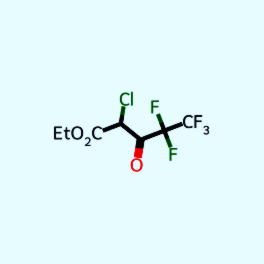 CCOC(=O)C(Cl)C(=O)C(F)(F)C(F)(F)F